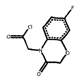 O=C(Cl)CN1C(=O)COc2cc(F)ccc21